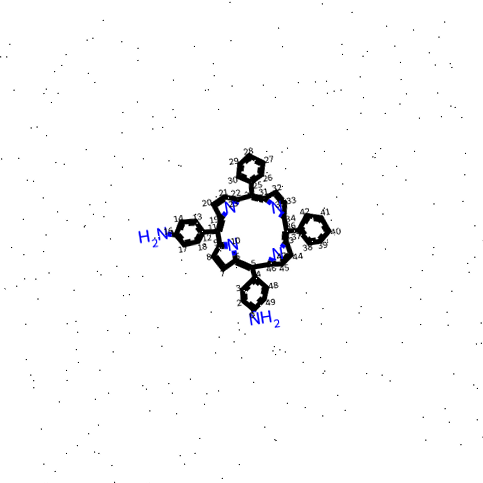 Nc1ccc(C2=C3C=CC(=N3)C(c3ccc(N)cc3)=C3C=CC(=N3)C(c3ccccc3)=C3C=CC(=N3)C(c3ccccc3)=C3C=CC2=N3)cc1